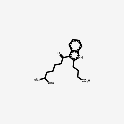 CCCCC(CCCC)CCCCC(=O)c1c(CCCC(=O)O)[nH]c2ccccc12